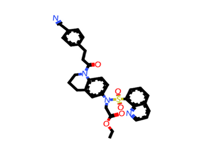 CCOC(=O)CN(c1ccc2c(c1)CCCN2C(=O)CCc1ccc(C#N)cc1)S(=O)(=O)c1cccc2cccnc12